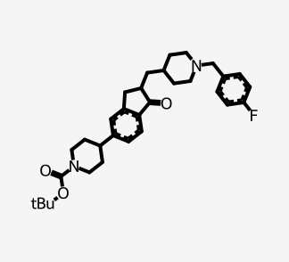 CC(C)(C)OC(=O)N1CCC(c2ccc3c(c2)CC(CC2CCN(Cc4ccc(F)cc4)CC2)C3=O)CC1